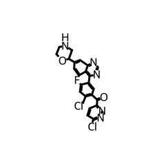 O=C(c1ccc(Cl)nn1)c1cc(-c2ncnc3cc(C4CNCCO4)ccc23)c(F)cc1Cl